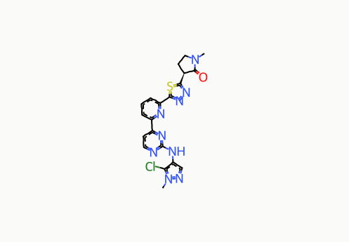 CN1CC[C@H](c2nnc(-c3cccc(-c4ccnc(Nc5cnn(C)c5Cl)n4)n3)s2)C1=O